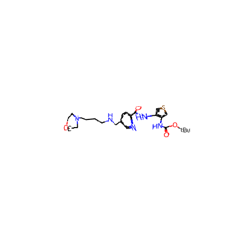 CC(C)(C)OC(=O)Nc1cscc1NC(=O)c1ccc(CNCCCCN2CCOCC2)cn1